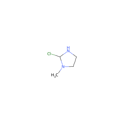 CN1CCNC1Cl